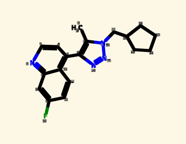 Cc1c(-c2ccnc3cc(F)ccc23)nnn1CC1CCCC1